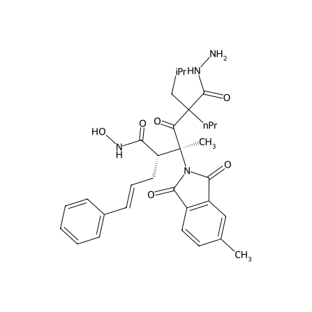 CCCC(CC(C)C)(C(=O)NN)C(=O)[C@](C)([C@H](C/C=C/c1ccccc1)C(=O)NO)N1C(=O)c2ccc(C)cc2C1=O